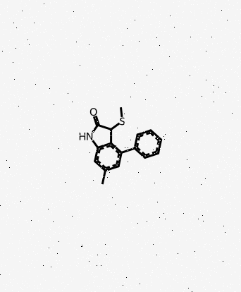 CSC1C(=O)Nc2cc(C)cc(-c3ccccc3)c21